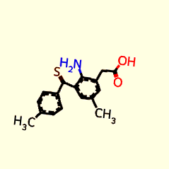 Cc1ccc(C(=S)c2cc(C)cc(CC(=O)O)c2N)cc1